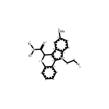 CCN(CC)C(=O)C1Sc2ccccc2-c2c1c1cc(OC)ccc1n2CC[18F]